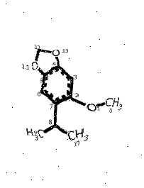 COc1cc2c(cc1C(C)C)OCO2